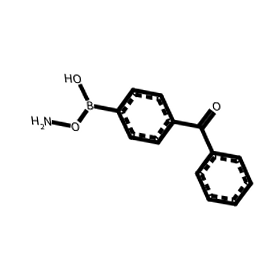 NOB(O)c1ccc(C(=O)c2ccccc2)cc1